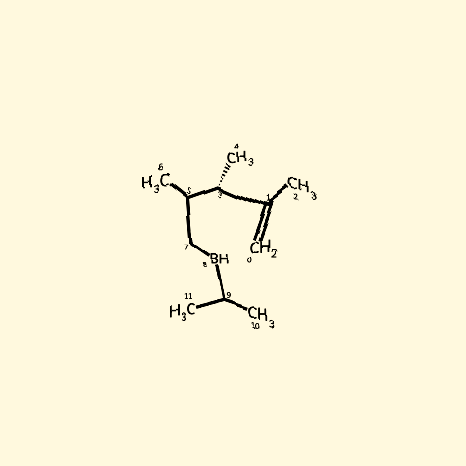 C=C(C)[C@@H](C)C(C)CBC(C)C